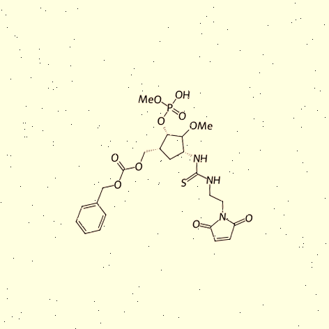 COC1[C@@H](OP(=O)(O)OC)[C@@H](COC(=O)OCc2ccccc2)C[C@H]1NC(=S)NCCN1C(=O)C=CC1=O